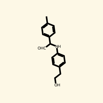 Cc1ccc(C(C=O)Nc2ccc(CCO)cc2)cc1